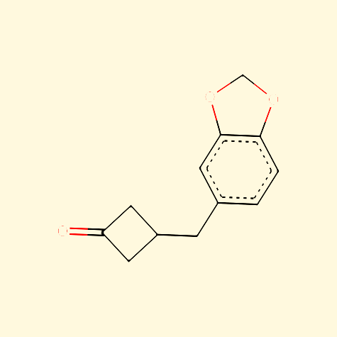 O=C1CC(Cc2ccc3c(c2)OCO3)C1